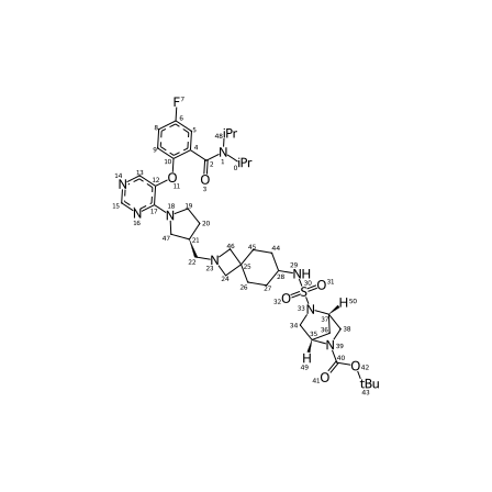 CC(C)N(C(=O)c1cc(F)ccc1Oc1cncnc1N1CC[C@@H](CN2CC3(CCC(NS(=O)(=O)N4C[C@@H]5C[C@H]4CN5C(=O)OC(C)(C)C)CC3)C2)C1)C(C)C